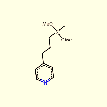 CO[Si](C)(CCCc1ccncc1)OC